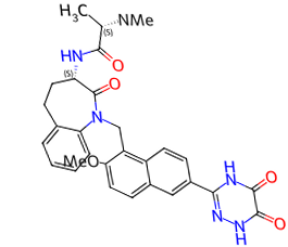 CN[C@@H](C)C(=O)N[C@H]1CCc2ccccc2N(Cc2c(OC)ccc3cc(-c4n[nH]c(=O)c(=O)[nH]4)ccc23)C1=O